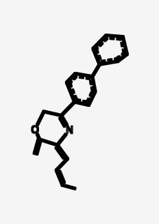 C=C1OCC(c2ccc(-c3ccccc3)cc2)=N/C1=C/C=C\C